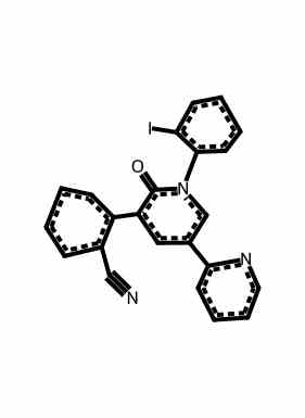 N#Cc1ccccc1-c1cc(-c2ccccn2)cn(-c2ccccc2I)c1=O